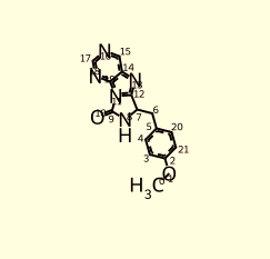 COc1ccc(CC2NC(=O)n3c2nc2cncnc23)cc1